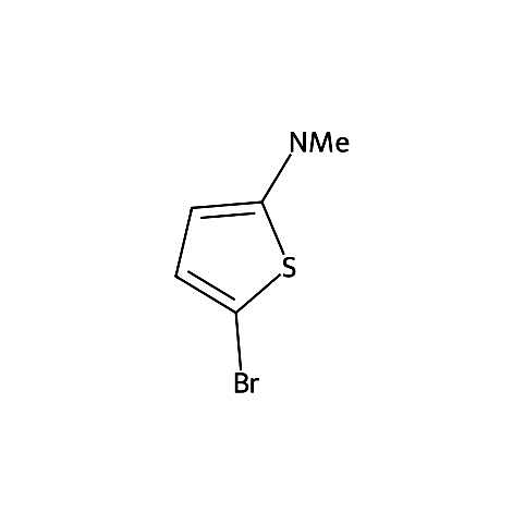 CNc1ccc(Br)s1